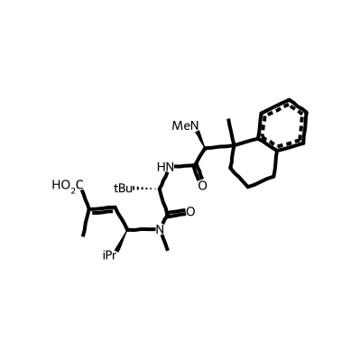 CN[C@H](C(=O)N[C@H](C(=O)N(C)[C@H](C=C(C)C(=O)O)C(C)C)C(C)(C)C)C1(C)CCCc2ccccc21